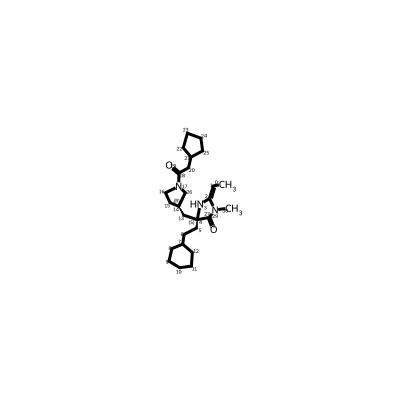 CC=C1N[C@@](CCC2CCCCC2)(C[C@H]2CCN(C(=O)CC3CCCC3)C2)C(=O)N1C